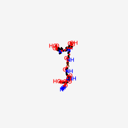 CCN1/C(=C/C=C/C2=[N+](CCCCCC(=O)NCCSSCCC(=O)NCC#Cc3cn(C4CC(OCN=[N+]=[N-])C(COCO)O4)c(=O)[nH]c3=O)c3ccc(S(=O)(=O)O)cc3C2(C)C)C(C)(C)c2cc(S(=O)(=O)O)ccc21